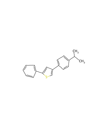 CC(C)c1ccc(-c2csc(-c3ccccc3)c2)cc1